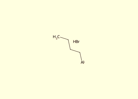 Br.CCC[CH2][Al]